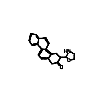 O=C1Cc2ccc3c(ccc4ccccc43)c2CC1C1NCCO1